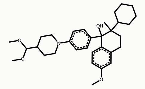 COc1ccc2c(c1)CCC(C)(C1CCCCC1)C2(O)c1ccc(N2CCC(C(OC)OC)CC2)cc1